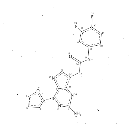 Nc1nc(-c2ccco2)c2ncn(CC(=O)Nc3ccc(F)c(F)c3)c2n1